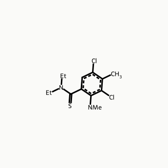 CCN(CC)C(=S)c1cc(Cl)c(C)c(Cl)c1NC